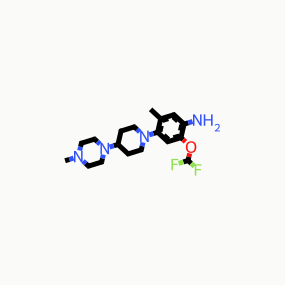 Cc1cc(N)c(OC(F)F)cc1N1CCC(N2CCN(C)CC2)CC1